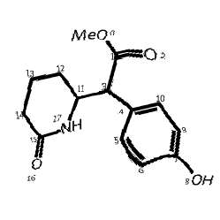 COC(=O)C(c1ccc(O)cc1)C1CCCC(=O)N1